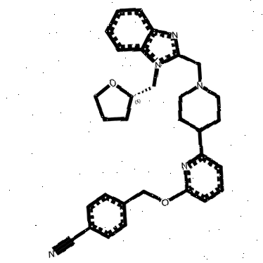 N#Cc1ccc(COc2cccc(C3CCN(Cc4nc5ccccc5n4C[C@@H]4CCCO4)CC3)n2)cc1